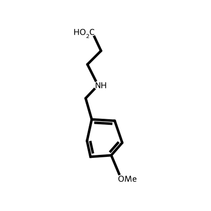 COc1ccc(CNCCC(=O)O)cc1